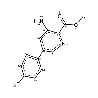 COC(=O)c1ncc(-c2ccc(F)cc2)cc1N